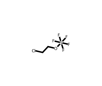 FS(F)(F)(F)(F)OCCCl